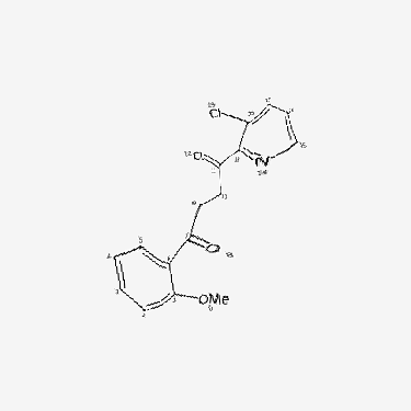 COc1ccccc1C(=O)CCC(=O)c1ncccc1Cl